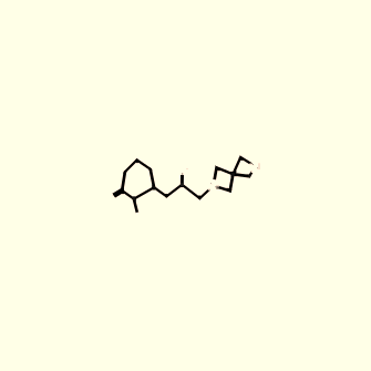 CC1C(=O)CCCC1CC(O)CN1CC2(CNC2)C1